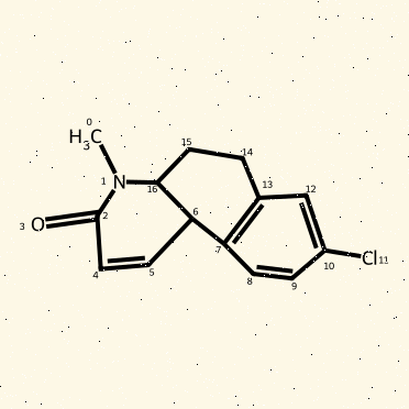 CN1C(=O)C=CC2c3ccc(Cl)cc3CCC21